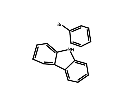 Brc1ccccc1.c1ccc2c(c1)[nH]c1ccccc12